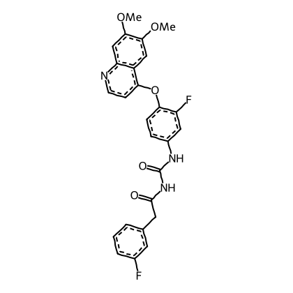 COc1cc2nccc(Oc3ccc(NC(=O)NC(=O)Cc4cccc(F)c4)cc3F)c2cc1OC